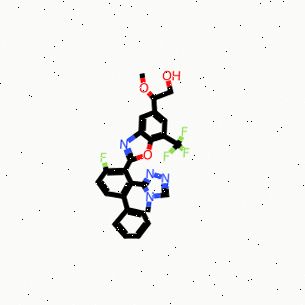 COC(CO)c1cc(C(F)(F)F)c2oc(-c3c(F)ccc(-c4ccccc4)c3-c3nncn3C)nc2c1